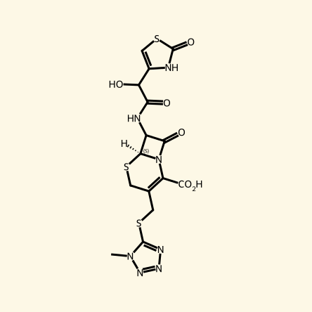 Cn1nnnc1SCC1=C(C(=O)O)N2C(=O)C(NC(=O)C(O)c3csc(=O)[nH]3)[C@@H]2SC1